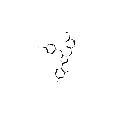 O=[N+]([O-])c1ccc(Cn2cc(-c3ccc(Cl)cc3Cl)nc2Cc2ccc(Br)cc2)cc1